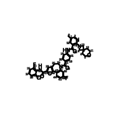 Cc1cnc(N2CC3(CCOCC3)C2)c(C(=O)Nc2ccc(C(=O)N3CCc4cc(C(=O)Nc5c(F)cccc5Cl)oc4-c4ccc(F)cc43)cc2)c1